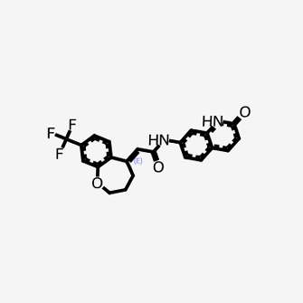 O=C(/C=C1\CCCOc2cc(C(F)(F)F)ccc21)Nc1ccc2ccc(=O)[nH]c2c1